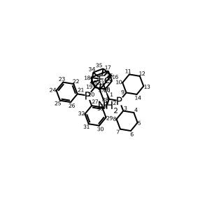 CC(P(C1CCCCC1)C1CCCCC1)[C@@]12[CH]3[CH]4[CH]5[C]1(P(c1ccccc1)c1ccccc1)[Fe]45321678[CH]2[CH]1[CH]6[C]7(CN)[CH]28